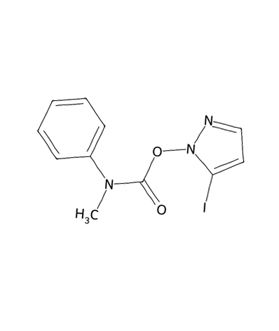 CN(C(=O)On1nccc1I)c1ccccc1